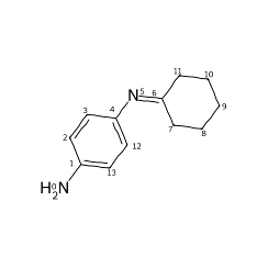 Nc1ccc(N=C2CCCCC2)cc1